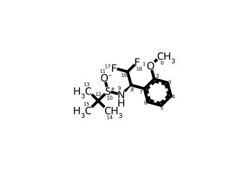 COc1ccccc1[C@@H](N[S+]([O-])C(C)(C)C)C(F)F